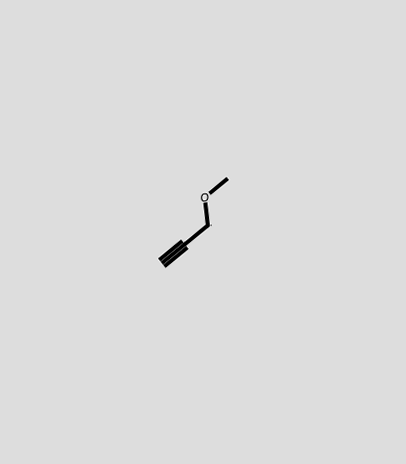 C#C[CH]OC